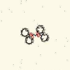 O=C(CCC(=O)OC(C1CCCCCCCCCCC1)C1CCCCCCCCCCC1)OC(C1CCCCCCCCCCC1)C1CCCCCCCCCCC1